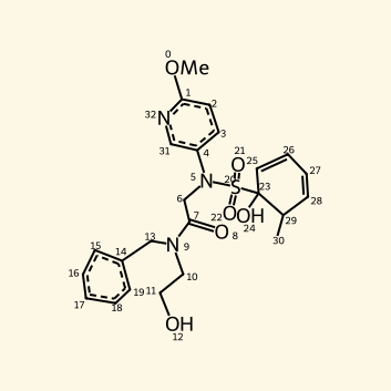 COc1ccc(N(CC(=O)N(CCO)Cc2ccccc2)S(=O)(=O)C2(O)C=CC=CC2C)cn1